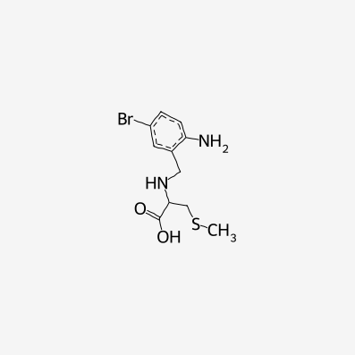 CSCC(NCc1cc(Br)ccc1N)C(=O)O